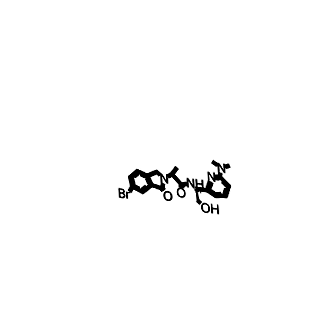 CC(C(=O)N[C@H](CO)c1cccc(N(C)C)n1)N1Cc2ccc(Br)cc2C1=O